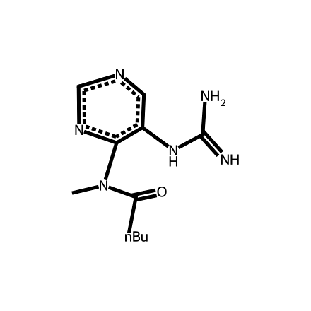 CCCCC(=O)N(C)c1ncncc1NC(=N)N